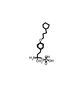 C[C@@](N)(CCc1ccc(OCCCC2CCCCC2)cc1)COP(=O)(O)O